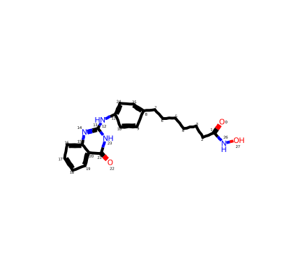 O=C(CCCCCCc1ccc(Nc2nc3ccccc3c(=O)[nH]2)cc1)NO